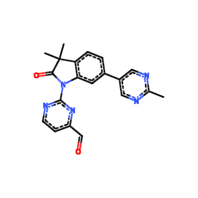 Cc1ncc(-c2ccc3c(c2)N(c2nccc(C=O)n2)C(=O)C3(C)C)cn1